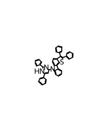 C1=C(c2ccccc2)NC(c2ccccc2)N=C1n1c2ccccc2c2c3sc(-c4ccccc4)c(-c4ccccc4)c3ccc21